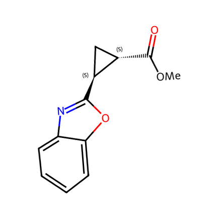 COC(=O)[C@H]1C[C@@H]1c1nc2ccccc2o1